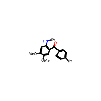 COc1cc(NC(C)C)c(C(=O)c2ccc(C(C)C)cc2)cc1OC